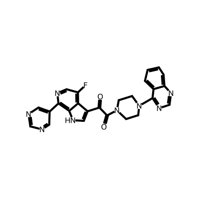 O=C(C(=O)N1CCN(c2ncnc3ccccc23)CC1)c1c[nH]c2c(-c3cncnc3)ncc(F)c12